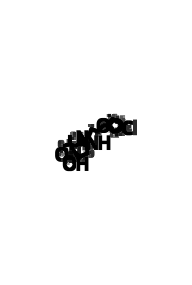 CC(C)C1c2nc(CCOc3ccc(Cl)cc3)[nH]c2CCN1C(=O)O